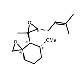 CO[C@@H]1CCC[C@]2(CO2)[C@H]1C1(C)O[C@@H]1CC=C(C)C